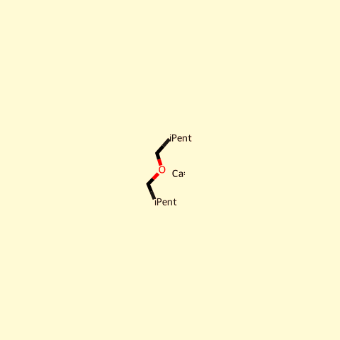 CCCC(C)COCC(C)CCC.[Ca]